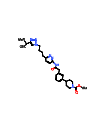 CNC(C=O)c1cn(CCCCc2ccc(NC(=O)Cc3cccc(C4CCN(C(=O)OC(C)(C)C)CC4)c3)nn2)nn1